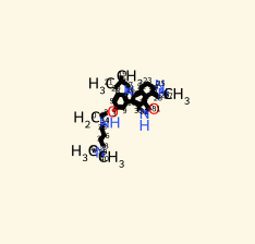 C=C(COc1ccc2c(c1)c1c3c(c4c(c1n2CC(C)CC)CCc1nn(C)cc1-4)C(=O)NC3)NCCCCN(C)C